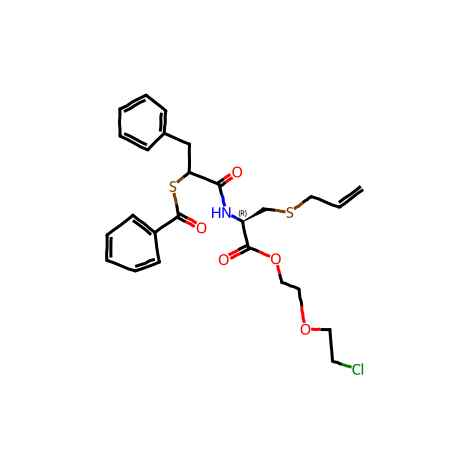 C=CCSC[C@H](NC(=O)C(Cc1ccccc1)SC(=O)c1ccccc1)C(=O)OCCOCCCl